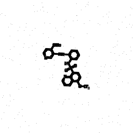 COc1ccncc1C#Cc1ccccc1NS(=O)(=O)c1ccc(OC(F)(F)F)c2cccnc12